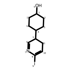 OC1CCC(C2C=NC(I)=CC2)CC1